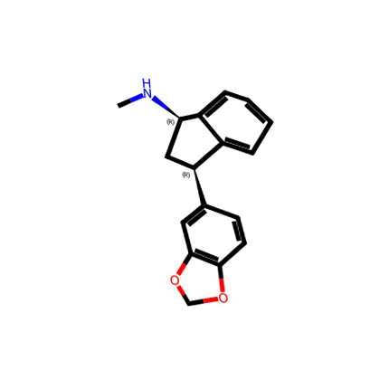 CN[C@@H]1C[C@H](c2ccc3c(c2)OCO3)c2ccccc21